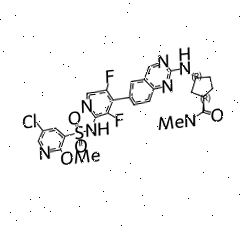 CNC(=O)[C@@H]1CC[C@@H](Nc2ncc3cc(-c4c(F)cnc(NS(=O)(=O)c5cc(Cl)cnc5OC)c4F)ccc3n2)C1